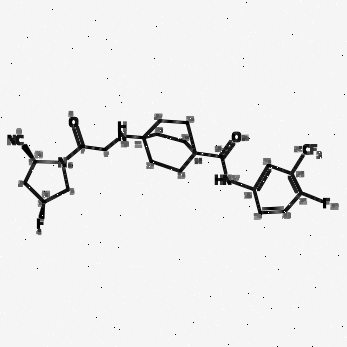 N#C[C@@H]1C[C@H](F)CN1C(=O)CNC12CCC(C(=O)Nc3ccc(F)c(C(F)(F)F)c3)(CC1)CC2